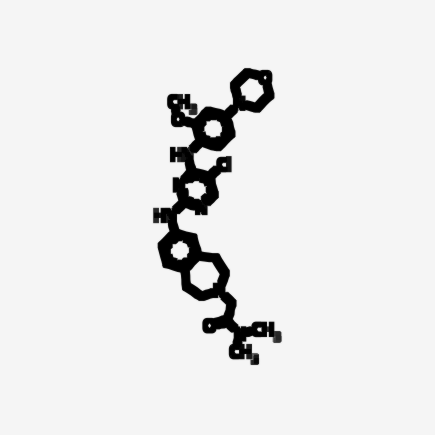 COc1cc(N2CCOCC2)ccc1Nc1nc(Nc2ccc3c(c2)CCN(CC(=O)N(C)C)CC3)ncc1Cl